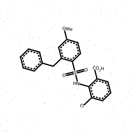 COc1ccc(S(=O)(=O)Nc2c(Cl)cccc2C(=O)O)c(Cc2ccccc2)c1